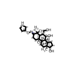 CC1(C)/C(=N/O[C@@H]2CCNC2)CC[C@@]2(C)C1[C@@H](CO)[C@@H](O)[C@H]1[C@@H]3CC[C@H](O)[C@@]3(C)CC[C@@H]12